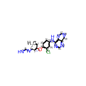 C=C/C(=C\C=N\C=N)Oc1ccc(Nc2ncnc3cncnc23)cc1Cl